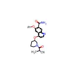 CC(C)Oc1cc2c(O[C@@H]3CCCN(C(=O)C(C)C#N)C3)ccnc2cc1C(N)=O